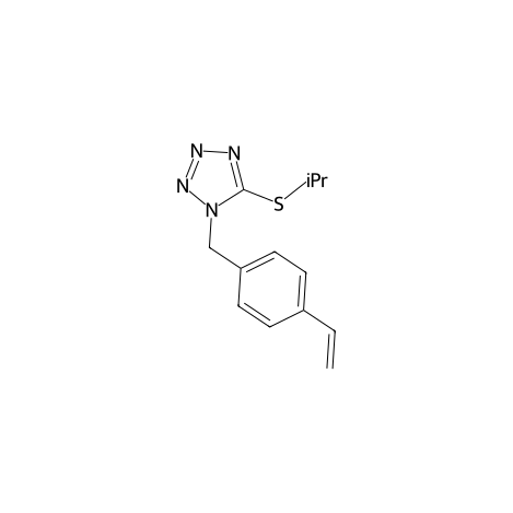 C=Cc1ccc(Cn2nnnc2SC(C)C)cc1